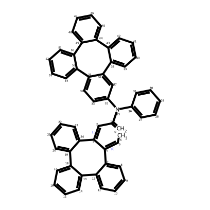 C=C(/C=C1\C(=C/C)c2ccccc2-c2ccccc2-c2ccccc21)N(c1ccccc1)c1ccc2c(c1)-c1ccccc1-c1ccccc1-c1ccccc1-2